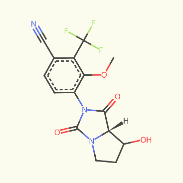 COc1c(N2C(=O)[C@@H]3C(O)CCN3C2=O)ccc(C#N)c1C(F)(F)F